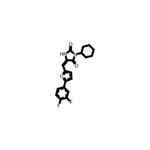 O=C1N/C(=C/c2ccc(-c3ccc(F)c(F)c3)o2)C(=O)N1C1CCCCC1